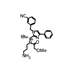 COCC(=O)N(CCCN)[C@@H](c1nc(-c2ccccc2)cn1Cc1cccc(C#N)c1)C(C)(C)C